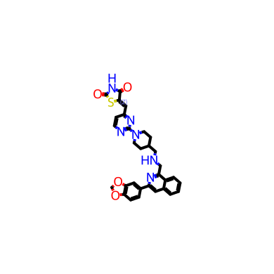 O=C1NC(=O)/C(=C/c2ccnc(N3CCC(CNCc4nc(-c5ccc6c(c5)OCO6)cc5ccccc45)CC3)n2)S1